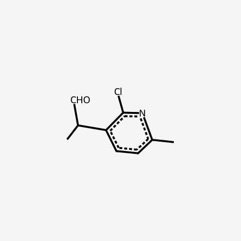 Cc1ccc(C(C)C=O)c(Cl)n1